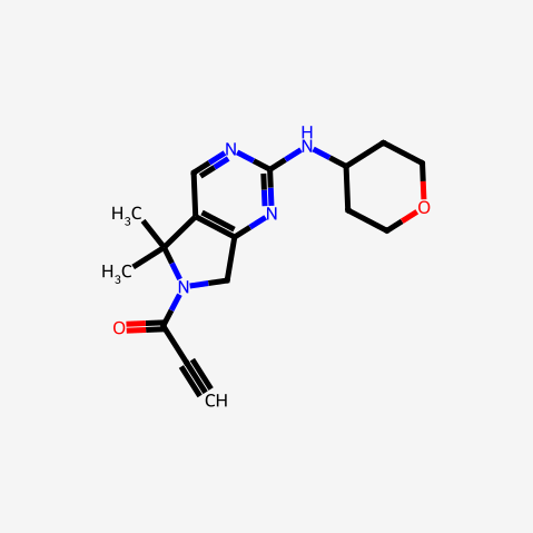 C#CC(=O)N1Cc2nc(NC3CCOCC3)ncc2C1(C)C